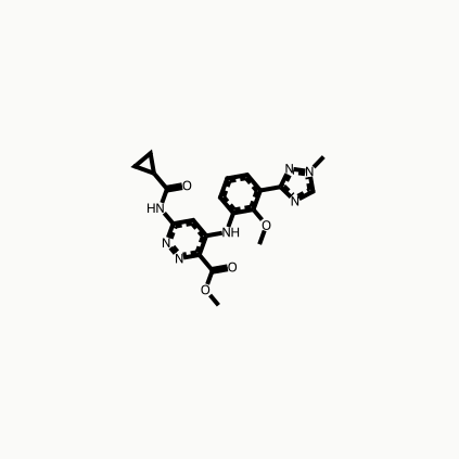 COC(=O)c1nnc(NC(=O)C2CC2)cc1Nc1cccc(-c2ncn(C)n2)c1OC